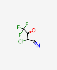 N#CC(Cl)C(=O)C(F)(F)F